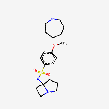 C1CCC[N]CC1.COc1ccc(S(=O)(=O)NC23CCC[N+]2CC3)cc1